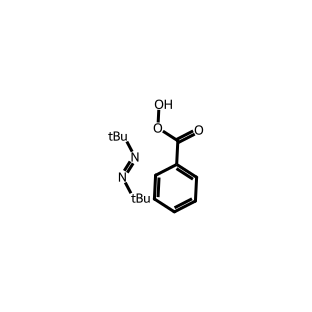 CC(C)(C)N=NC(C)(C)C.O=C(OO)c1ccccc1